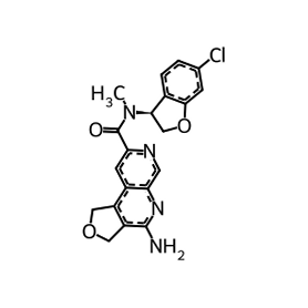 CN(C(=O)c1cc2c3c(c(N)nc2cn1)COC3)[C@@H]1COc2cc(Cl)ccc21